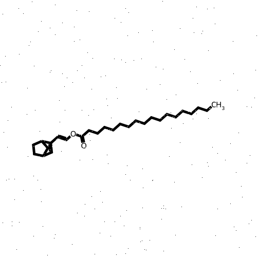 CCCCCCCCCCCCCCCCCC(=O)OC=CC1=CC2CCC1C2